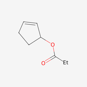 CCC(=O)OC1C=CCC1